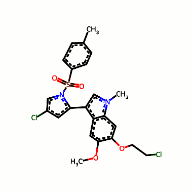 COc1cc2c(-c3cc(Cl)cn3S(=O)(=O)c3ccc(C)cc3)cn(C)c2cc1OCCCl